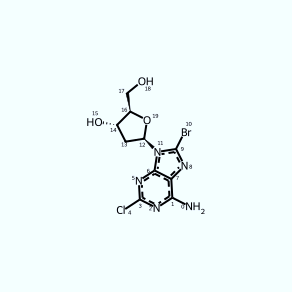 Nc1nc(Cl)nc2c1nc(Br)n2[C@H]1C[C@H](O)[C@@H](CO)O1